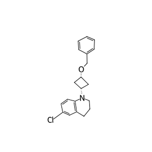 Clc1ccc2c(c1)CCCN2[C@H]1C[C@@H](OCc2ccccc2)C1